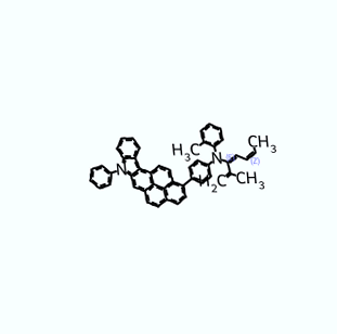 C=C(C)/C(=C\C=C/C)N(c1ccc(-c2ccc3ccc4cc5c(c6ccc2c3c46)c2ccccc2n5-c2ccccc2)cc1)c1ccccc1C